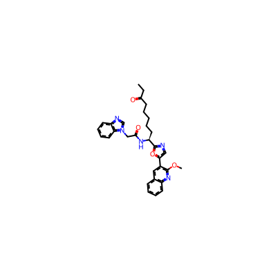 CCC(=O)CCCCC[C@H](NC(=O)Cn1cnc2ccccc21)c1ncc(-c2cc3ccccc3nc2OC)o1